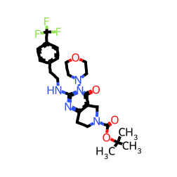 CC(C)(C)OC(=O)N1CCc2nc(NCCc3ccc(C(F)(F)F)cc3)n(N3CCOCC3)c(=O)c2C1